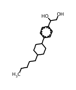 CCCCCC1CCC(c2ccc(C(O)CO)cc2)CC1